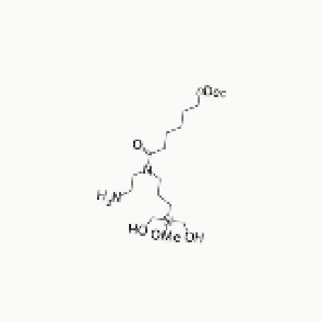 CCCCCCCCCCCCCCCC(=O)N(CCN)CCC[Si](CO)(CO)OC